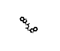 CC(CC(C)=Nc1cnc2ccccc2c1)=Nc1cnc2ccccc2c1